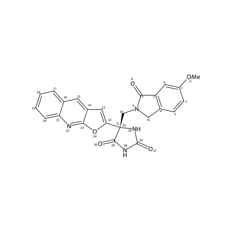 COc1ccc2c(c1)C(=O)N(C[C@@]1(c3cc4cc5ccccc5nc4o3)NC(=O)NC1=O)C2